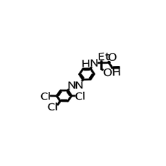 C=CC(=O)C(CC)(CO)Nc1ccc(N=Nc2cc(Cl)c(Cl)cc2Cl)cc1